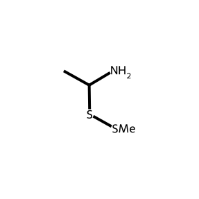 CSSC(C)N